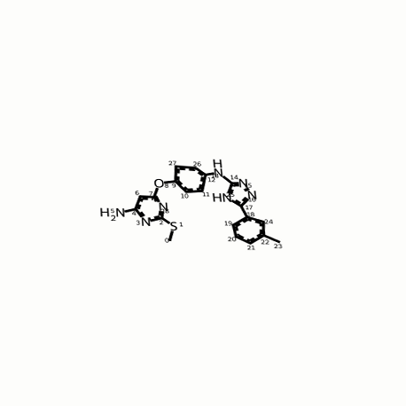 CSc1nc(N)cc(Oc2ccc(Nc3nnc(-c4cccc(C)c4)[nH]3)cc2)n1